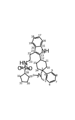 CN(C)C1(c2ccccc2)CCC(c2[nH]c3ccccc3c2CCNS(=O)(=O)C2CCCC2)CC1